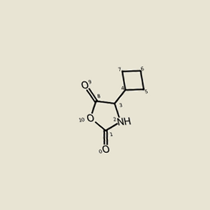 O=C1NC(C2CCC2)C(=O)O1